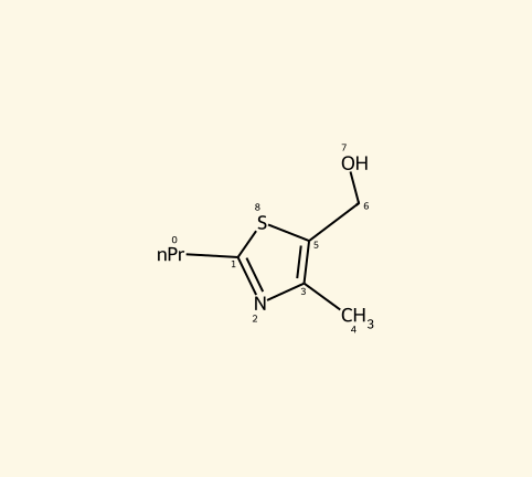 CCCc1nc(C)c(CO)s1